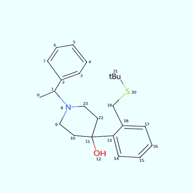 CC(c1ccccc1)N1CCC(O)(c2ccccc2CSC(C)(C)C)CC1